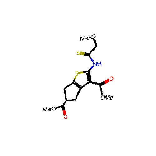 COCC(=S)Nc1sc2c(c1C(=O)OC)CC(C(=O)OC)C2